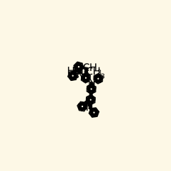 CC(C)(C)c1cc(N(c2ccccc2)c2ccc(-c3ccc4c(c3)c3ccccc3n4-c3ccccc3)cc2)ccc1-n1c2ccccc2c2ccccc21